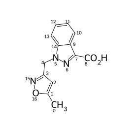 Cc1cc(Cn2nc(C(=O)O)c3ccccc32)no1